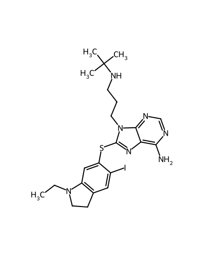 CCN1CCc2cc(I)c(Sc3nc4c(N)ncnc4n3CCCNC(C)(C)C)cc21